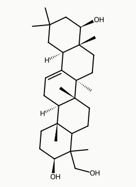 CC1(C)C[C@@H](O)[C@]2(C)CC[C@]3(C)C(=CC[C@@H]4[C@@]5(C)CC[C@H](O)C(C)(CO)C5CC[C@]43C)[C@H]2C1